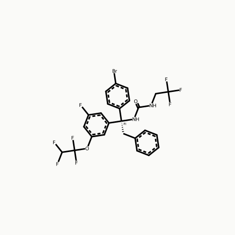 O=C(NCC(F)(F)F)N[C@](Cc1ccccc1)(c1ccc(Br)cc1)c1cc(F)cc(OC(F)(F)C(F)F)c1